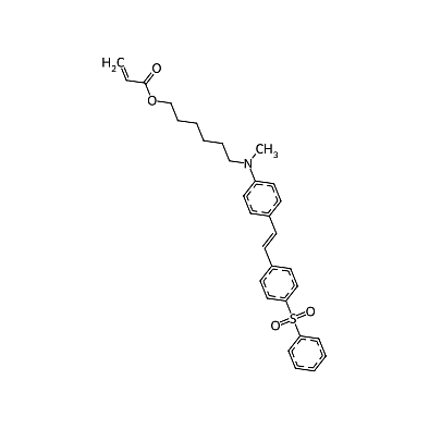 C=CC(=O)OCCCCCCN(C)c1ccc(C=Cc2ccc(S(=O)(=O)c3ccccc3)cc2)cc1